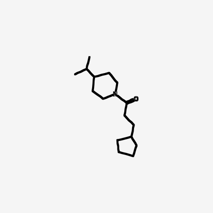 CC(C)C1CCN(C(=O)CCC2CCCC2)CC1